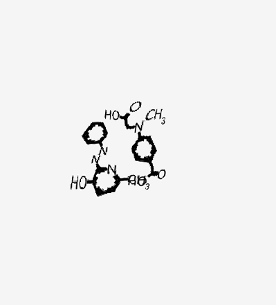 CN(CC(=O)O)c1ccc(C(=O)O)cc1.Cc1ccc(O)c(N=Nc2ccccc2)n1